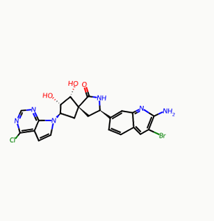 Nc1nc2cc([C@H]3C[C@]4(C[C@@H](n5ccc6c(Cl)ncnc65)[C@H](O)[C@@H]4O)C(=O)N3)ccc2cc1Br